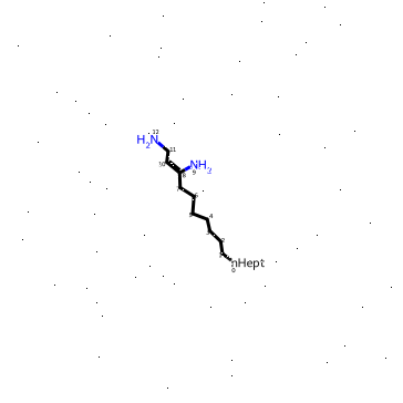 CCCCCCCCCCCCCCC(N)=CCN